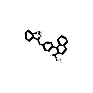 NC(=O)c1ccc2ccccc2c1-c1ccc(Cc2n[nH]c3ccccc23)cc1